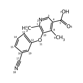 Cc1ncc(C(=O)O)c(C)c1Oc1cccc(C#N)c1